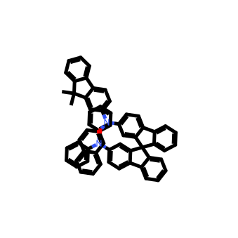 CC1(C)c2ccccc2-c2ccc(N(c3ccc4c(c3)C3(c5ccccc5-c5ccc(N(c6ccccc6)c6ccccc6)cc53)c3ccccc3-4)c3ccc4ccccc4c3)cc21